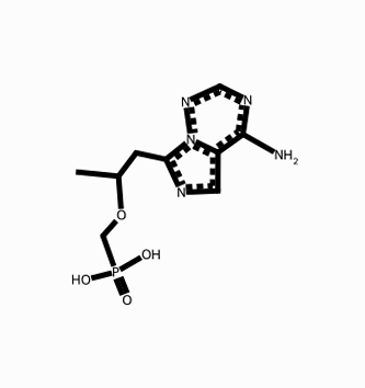 CC(Cc1ncc2c(N)ncnn12)OCP(=O)(O)O